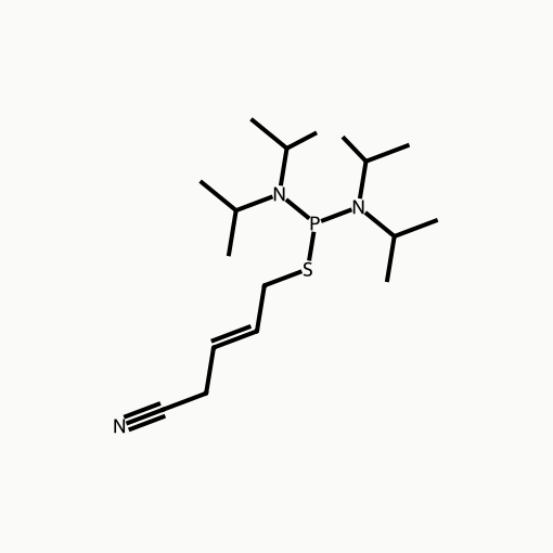 CC(C)N(C(C)C)P(SCC=CCC#N)N(C(C)C)C(C)C